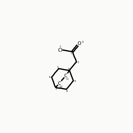 O=C(Cl)CC12CCC(CC1)CC2